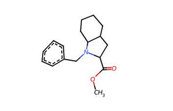 COC(=O)C1CC2CCCCC2N1Cc1ccccc1